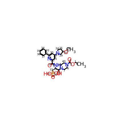 CCOC(=O)N1CCN(C(=O)[C@@H](CP(=O)(O)O)NC(=O)c2cc(N3CC[C@H](OC)C3)cc(-c3ccccc3)n2)CC1